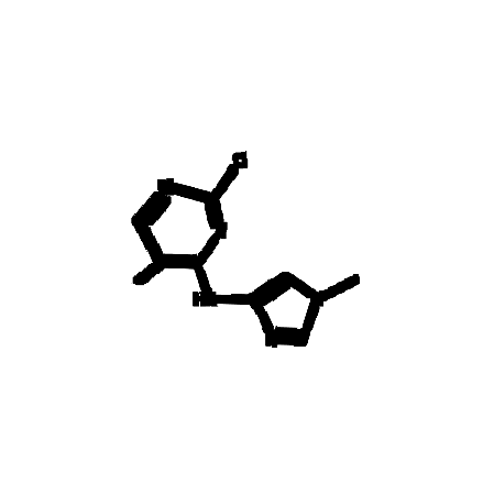 Cc1cnc(Cl)nc1Nc1cn(C)cn1